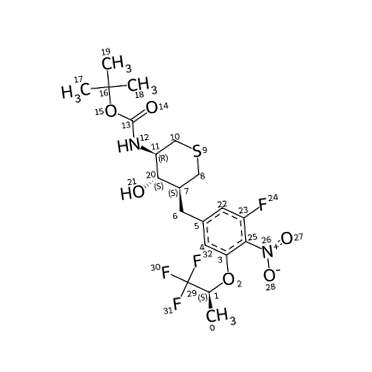 C[C@H](Oc1cc(C[C@@H]2CSC[C@H](NC(=O)OC(C)(C)C)[C@H]2O)cc(F)c1[N+](=O)[O-])C(F)(F)F